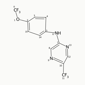 FC(F)(F)Oc1ccc(Nc2cnc(C(F)(F)F)cn2)cc1